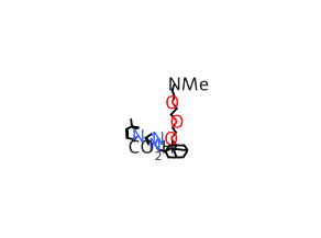 CNCCOCCOCCOC12CC3CC(CC(Cn4cc(N5C=C(C)C=CC5C(=O)O)cn4)(C3)C1)C2